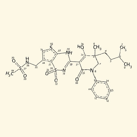 CC(C)CCC1(C)CN(c2ccccc2)C(=O)C(C2=NS(=O)(=O)c3c(CNS(C)(=O)=O)csc3N2)=C1O